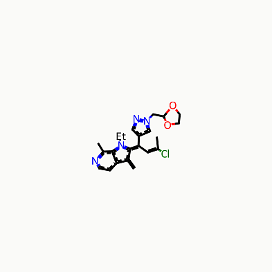 C=c1/c(=C(\C=C(/C)Cl)c2cnn(CC3OCCO3)c2)n(CC)c2c(C)nccc12